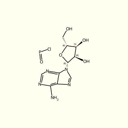 Nc1ncnc2c1ncn2[C@@H]1O[C@H](CO)[C@@H](O)[C@H]1O.O=PCl